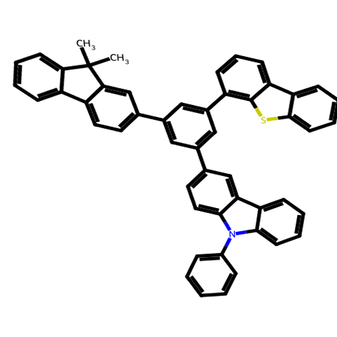 CC1(C)c2ccccc2-c2ccc(-c3cc(-c4ccc5c(c4)c4ccccc4n5-c4ccccc4)cc(-c4cccc5c4sc4ccccc45)c3)cc21